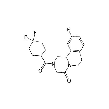 O=C(C1CCC(F)(F)CC1)N1CC(=O)N2CCc3ccc(F)cc3C2C1